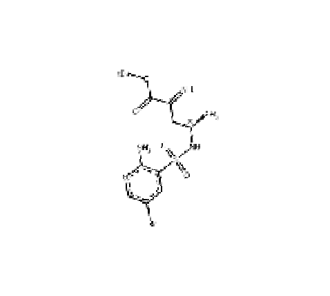 C[C@H](CC(=N)C(=O)OC(C)(C)C)NS(=O)(=O)c1cc(Br)cnc1N